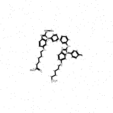 CCC(C)Nc1nc2ccc(OCCCCCC(=O)OC)cc2n1-c1ccccc1.Cc1ccc(-n2c(Oc3ccccc3)nc3ccc(OCCCCCC(=O)O)cc32)cc1